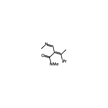 C/N=C\C(C(=O)NC)=C(/C)C(C)C